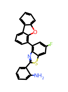 Nc1ccccc1-c1nc2c(-c3cccc4c3oc3ccccc34)cc(F)cc2s1